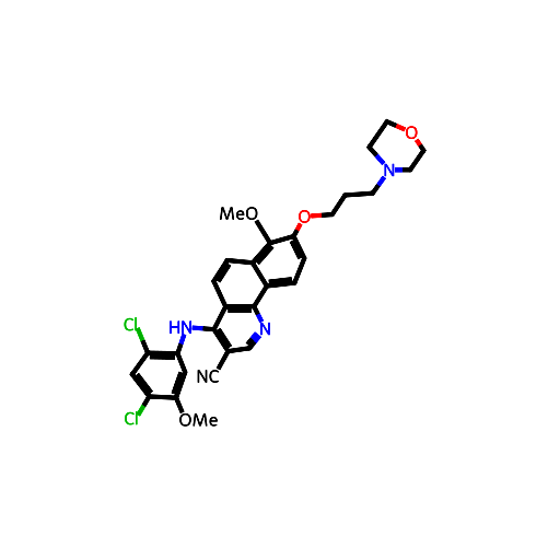 COc1cc(Nc2c(C#N)cnc3c2ccc2c(OC)c(OCCCN4CCOCC4)ccc23)c(Cl)cc1Cl